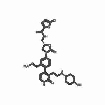 COCc1cc(N2C[C@H](CNC(=O)c3ccc(Cl)s3)OC2=O)ccc1-c1cc[nH]c(=O)c1CCN[C@H]1CC[C@H](O)CC1